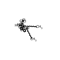 CCCCCCCCCCCC(=O)O[C@H](CCCCCCCCCCC)CC(=O)O[C@@H]1C(NC(=O)OCC(Cl)(Cl)Cl)C(O)OC2COC(c3ccccc3)O[C@H]21